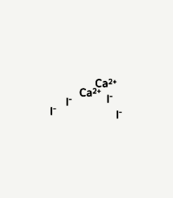 [Ca+2].[Ca+2].[I-].[I-].[I-].[I-]